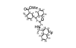 COC(=O)c1cc(C2CC(CN[C@H](C)c3ccc(F)c4ccccc34)Oc3ccccc32)ccc1C